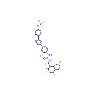 Cc1ccc(C(C)C)c(N2C(=O)CS/C2=N\C(=O)Nc2ccc(-n3cnc(-c4ccc(OC(F)(F)F)cc4)n3)cc2Cl)c1